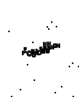 C[C@H]1c2sc(NC(=O)NCC(C)(C)O)nc2CCN1c1nc2cc(C(F)F)ccc2o1